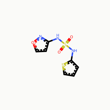 O=S(=O)(Nc1ccon1)Nc1cccs1